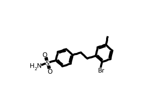 Cc1ccc(Br)c(CCc2ccc(S(N)(=O)=O)cc2)c1